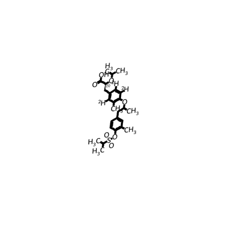 [2H]c1c([2H])c(OC(C)Cc2ccc(OS(=O)(=O)C(C)C)c(C)c2)c(C)c([2H])c1C[C@H](OC(C)C)C(=O)O